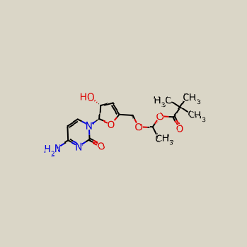 CC(OCC1=C[C@@H](O)[C@H](n2ccc(N)nc2=O)O1)OC(=O)C(C)(C)C